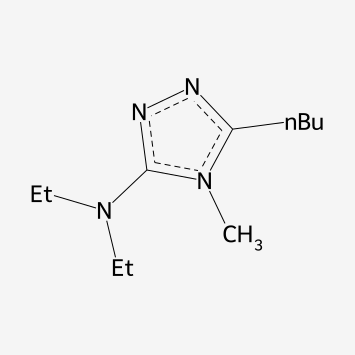 CCCCc1nnc(N(CC)CC)n1C